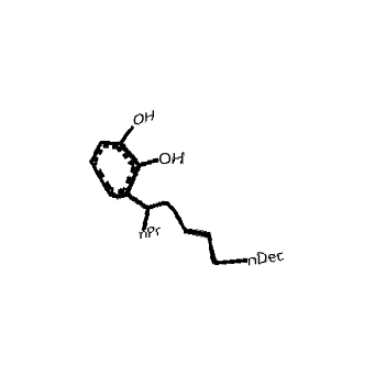 CCCCCCCCCCCCCCC(CCC)c1cccc(O)c1O